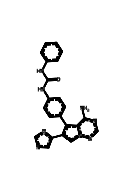 Nc1ncnn2cc(-c3cnco3)c(-c3ccc(NC(=O)Nc4ccccc4)cc3)c12